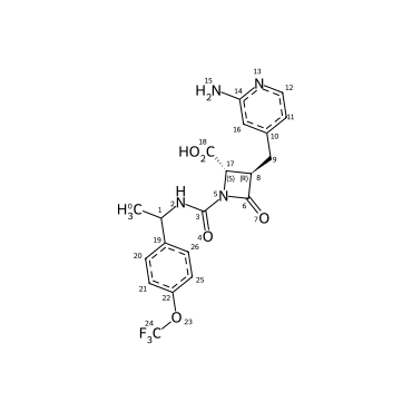 CC(NC(=O)N1C(=O)[C@H](Cc2ccnc(N)c2)[C@H]1C(=O)O)c1ccc(OC(F)(F)F)cc1